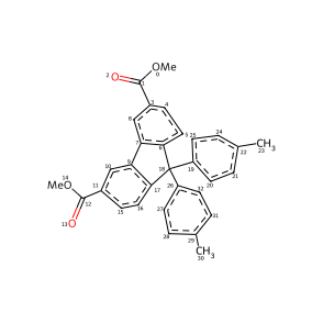 COC(=O)c1ccc2c(c1)-c1cc(C(=O)OC)ccc1C2(c1ccc(C)cc1)c1ccc(C)cc1